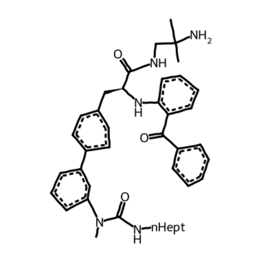 CCCCCCCNC(=O)N(C)c1cccc(-c2ccc(C[C@H](Nc3ccccc3C(=O)c3ccccc3)C(=O)NCC(C)(C)N)cc2)c1